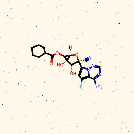 N#C[C@@]1(c2cc(F)c3c(N)ncnn23)O[C@@H]2C(OC(=O)C3CCCCC3)[C@]2(O)[C@H]1O